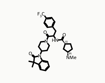 CN[C@@H]1CC[C@H](C(=O)NC(Cc2ccc(C(F)(F)F)cc2)C(=O)N2CCC(N3C(=O)C(C)(C)c4ccccc43)CC2)C1